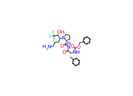 NCCCC(C(O)C(F)(F)F)N1CCC[C@H]1C(=O)NC(=O)[C@@H](Cc1ccccc1)NC(=O)OCc1ccccc1